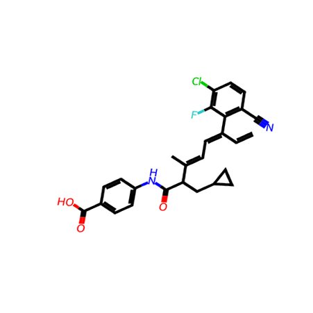 C=C/C(=C\C=C(/C)C(CC1CC1)C(=O)Nc1ccc(C(=O)O)cc1)c1c(C#N)ccc(Cl)c1F